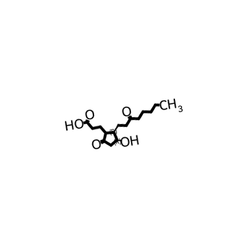 CCCCCC(=O)CC[C@@H]1C(CCC(=O)O)C(=O)C[C@H]1O